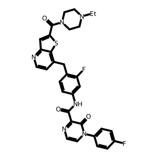 CCN1CCN(C(=O)c2cc3nccc(Cc4ccc(NC(=O)c5nccn(-c6ccc(F)cc6)c5=O)cc4F)c3s2)CC1